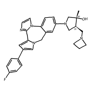 C[C@]1(O)CN(c2ccc3c(c2)Cn2cc(-c4ccc(F)cc4)cc2-c2nccn2-3)C[C@@H]1CN1CCC1